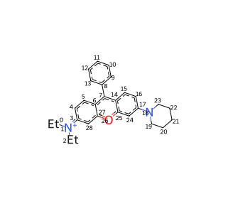 CC[N+](CC)=c1ccc2c(-c3ccccc3)c3ccc(N4CCCCC4)cc3oc-2c1